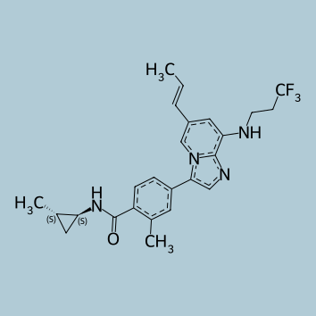 CC=Cc1cc(NCCC(F)(F)F)c2ncc(-c3ccc(C(=O)N[C@H]4C[C@@H]4C)c(C)c3)n2c1